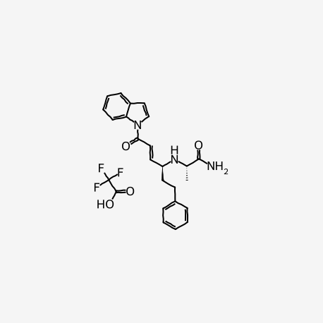 C[C@H](N[C@H](/C=C/C(=O)n1ccc2ccccc21)CCc1ccccc1)C(N)=O.O=C(O)C(F)(F)F